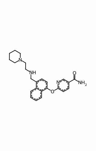 NC(=O)c1ccc(Oc2ccc(CNCCN3CCCCC3)c3ccccc23)nc1